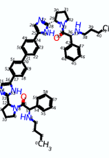 CCCCN[C@@H](C(=O)N1CCCC1c1ncc(-c2ccc(-c3ccc(-c4cnc([C@@H]5CCCN5C(=O)[C@H](NCCCC)c5ccccc5)[nH]4)cc3)cc2)[nH]1)c1ccccc1